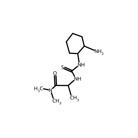 CC(NC(=S)NC1CCCCC1N)C(=O)N(C)C